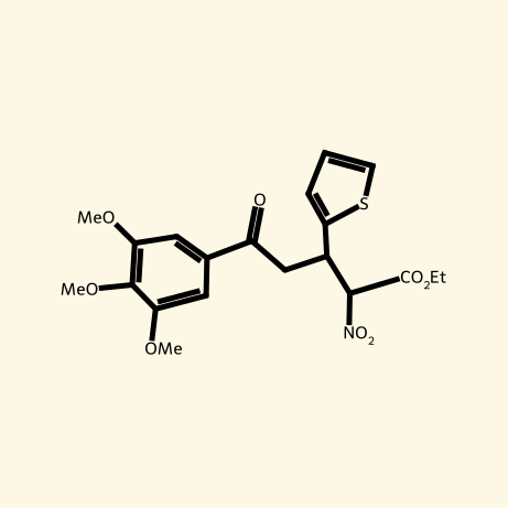 CCOC(=O)C(C(CC(=O)c1cc(OC)c(OC)c(OC)c1)c1cccs1)[N+](=O)[O-]